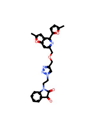 Cc1ccc(-c2nc(COCc3cn(CCN4C(=O)C(=O)c5ccccc54)nn3)cc3oc(C)cc23)o1